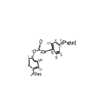 CCCCCCCCCCc1ccc(OC(=O)Oc2ccc(CCCCC)cc2)cc1